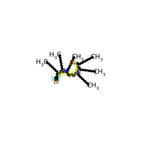 CCCCCCCCCCCCc1cc(Br)sc1-c1cc(CCCCCCCCCCCC)c(-c2nc(CCCCCCCCCCCC)c(-c3ccc(-c4ccc(-c5sc(-c6sc(-c7sc(-c8cc(F)c(Br)cc8F)cc7CCCCCCCCCCCC)cc6CCCCCCCCCCCC)nc5CCCCCCCCCCCC)s4)s3)s2)s1